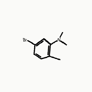 Cc1ccc(Br)cc1N(C)C